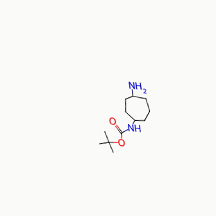 CC(C)(C)OC(=O)NC1CCCC(N)CC1